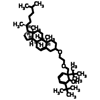 CC(C)CCC[C@@H](C)[C@H]1CC[C@H]2[C@@H]3CC=C4CC(OCCOCC5(C(C)(C)C)C=CC=C(C(C)(C)C)C5O)CC[C@]4(C)[C@H]3CC[C@]12C